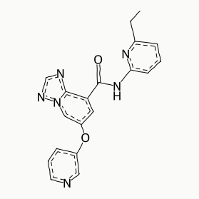 CCc1cccc(NC(=O)c2cc(Oc3cccnc3)cn3ncnc23)n1